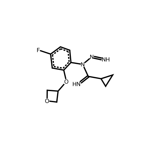 N=NN(C(=N)C1CC1)c1ccc(F)cc1OC1COC1